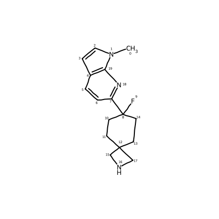 Cn1ccc2ccc(C3(F)CCC4(CC3)CNC4)nc21